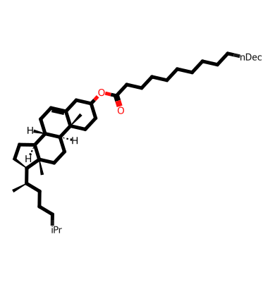 CCCCCCCCCCCCCCCCCCCC(=O)OC1CC[C@@]2(C)C(=CC[C@H]3[C@@H]4CC[C@H]([C@H](C)CCCC(C)C)[C@@]4(C)CC[C@@H]32)C1